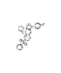 O=S(=O)(c1ccccc1)N1CCC2=Cc3c(cnn3-c3ccc(F)cc3)C[C@]2(CN2CCCC2)C1